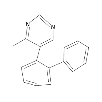 Cc1ncncc1-c1ccccc1-c1ccccc1